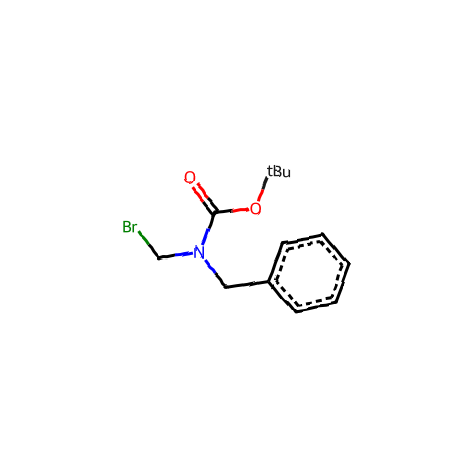 CC(C)(C)OC(=O)N(CBr)Cc1ccccc1